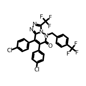 O=c1c(-c2ccc(Cl)cc2)c(-c2ccc(Cl)cc2)c2nnc(C(F)(F)F)n2n1Cc1ccc(C(F)(F)F)cc1